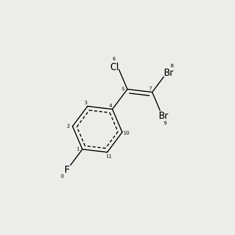 Fc1ccc(C(Cl)=C(Br)Br)cc1